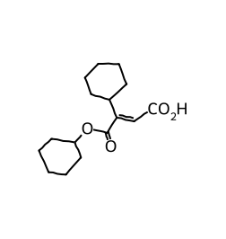 O=C(O)C=C(C(=O)OC1CCCCC1)C1CCCCC1